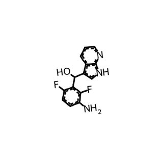 Nc1ccc(F)c(C(O)c2c[nH]c3ncccc23)c1F